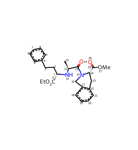 CCOC(=O)[C@H](CCc1ccccc1)N[C@@H](C)C(=O)N1Cc2ccccc2C[C@H]1C(=O)OC